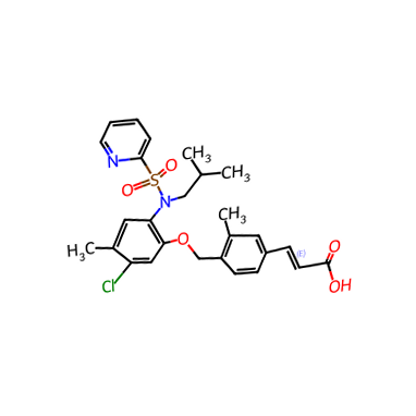 Cc1cc(N(CC(C)C)S(=O)(=O)c2ccccn2)c(OCc2ccc(/C=C/C(=O)O)cc2C)cc1Cl